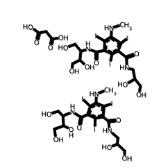 CNc1c(I)c(C(=O)NCC(O)CO)c(I)c(C(=O)NC(CO)C(O)CO)c1I.CNc1c(I)c(C(=O)NCC(O)CO)c(I)c(C(=O)NC(CO)C(O)CO)c1I.O=C(O)CC(=O)O